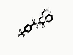 NCSC[C@H](NC(=O)c1ccc(C(F)(F)F)cc1)C(=O)N1CCCCC1